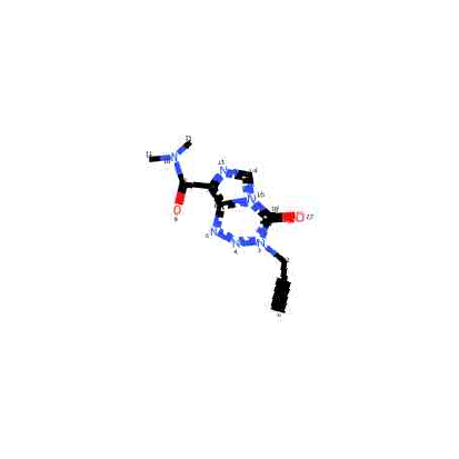 C#CCn1nnc2c(C(=O)N(C)C)ncn2c1=O